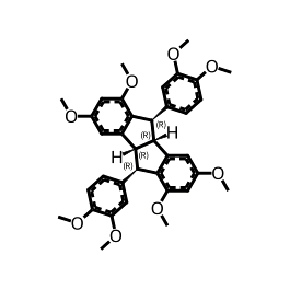 COc1cc(OC)c2c(c1)[C@H]1[C@H](c3ccc(OC)c(OC)c3)c3c(OC)cc(OC)cc3[C@H]1[C@@H]2c1ccc(OC)c(OC)c1